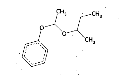 CCC(C)OC(C)Oc1ccccc1